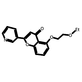 CCOCCOc1cccc2oc(-c3cccnc3)cc(=O)c12